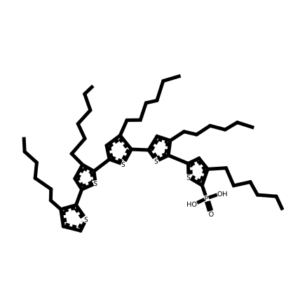 CCCCCCc1ccsc1-c1cc(CCCCCC)c(-c2cc(CCCCCC)c(-c3cc(CCCCCC)c(-c4cc(CCCCCC)c(P(=O)(O)O)s4)s3)s2)s1